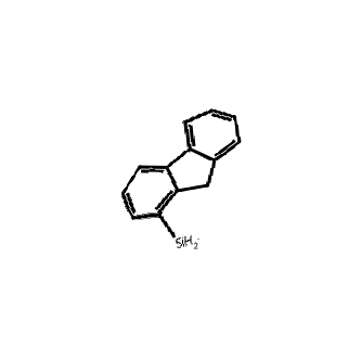 [SiH2]c1cccc2c1Cc1ccccc1-2